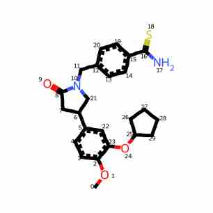 COc1ccc(C2CC(=O)N(Cc3ccc(C(N)=S)cc3)C2)cc1OC1CCCC1